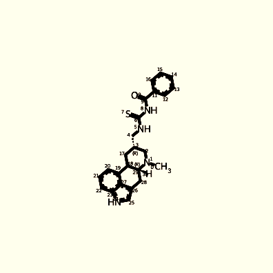 CN1C[C@@H](CNC(=S)NC(=O)c2ccccc2)CC2c3cccc4[nH]cc(c34)C[C@H]21